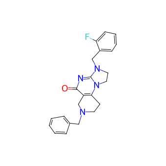 O=c1nc2n(c3c1CN(Cc1ccccc1)CC3)CCN2Cc1ccccc1F